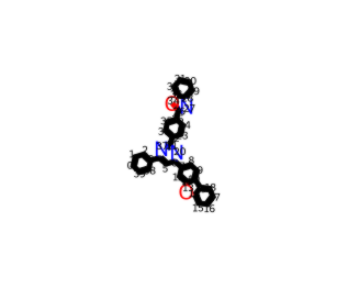 c1ccc(-c2cc(-c3ccc4c(c3)oc3ccccc34)nc(-c3ccc(-c4nc5ccccc5o4)cc3)n2)cc1